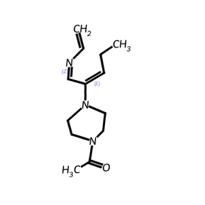 C=C/N=C\C(=C/CC)N1CCN(C(C)=O)CC1